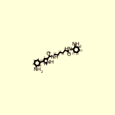 Nc1cccc(-c2cc(C(=O)NCCCCCC(=O)Nc3ccccc3N)[nH]n2)c1